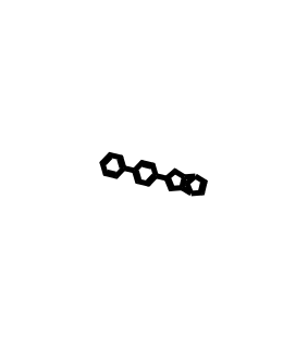 C1=CC2CC1C1C=C(c3ccc(-c4ccccc4)cc3)CC21